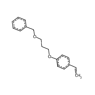 C=Cc1ccc(OCCCOCc2ccccc2)cc1